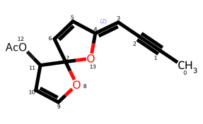 CC#C/C=C1/C=CC2(OC=CC2OC(C)=O)O1